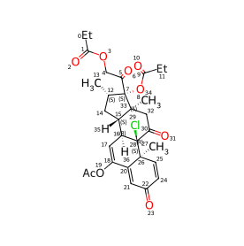 CCC(=O)OCC(=O)[C@]1(OC(=O)CC)[C@@H](C)C[C@H]2[C@@H]3C=C(OC(C)=O)C4=CC(=O)C=C[C@]4(C)[C@@]3(Cl)C(=O)C[C@@]21C